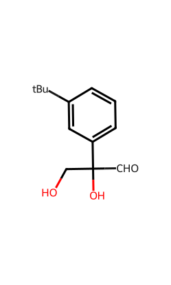 CC(C)(C)c1cccc(C(O)(C=O)CO)c1